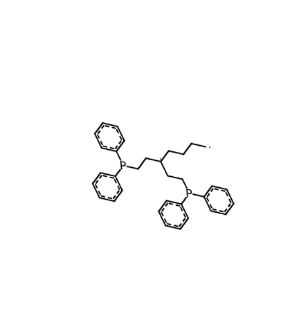 [CH2]CCC[C](CCP(c1ccccc1)c1ccccc1)CCP(c1ccccc1)c1ccccc1